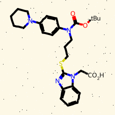 CC(C)(C)OC(=O)N(CCCSc1nc2ccccc2n1CC(=O)O)c1ccc(N2CCCCC2)cc1